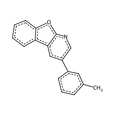 Cc1cccc(-c2cnc3oc4ccccc4c3c2)c1